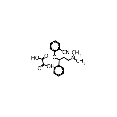 CN(C)CCC(Oc1ccccc1C#N)c1ccccc1.O=C(O)C(=O)O